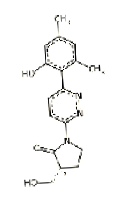 Cc1cc(C)c(-c2ccc(N3CC[C@H](CO)C3=O)nn2)c(O)c1